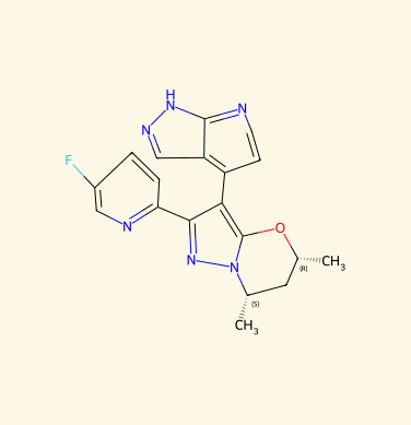 C[C@@H]1C[C@H](C)n2nc(-c3ccc(F)cn3)c(-c3ccnc4[nH]ncc34)c2O1